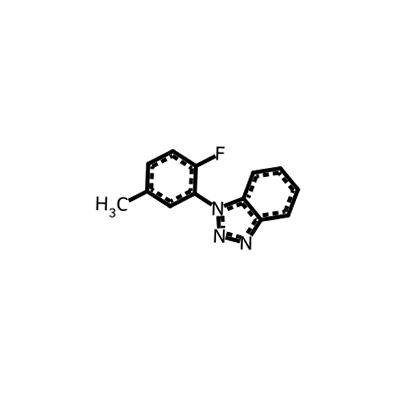 Cc1ccc(F)c(-n2nnc3ccccc32)c1